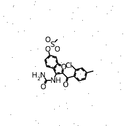 Cc1ccc(C(=O)c2oc3cc(OS(C)(=O)=O)ccc3c2NC(N)=O)c(Cl)c1